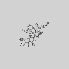 CCOc1cccc(N(N)C(=O)OCN=[N+]=[N-])c1COc1cc(N[C@@H](CS)C(C)=O)c(CC)cc1CN=[N+]=[N-]